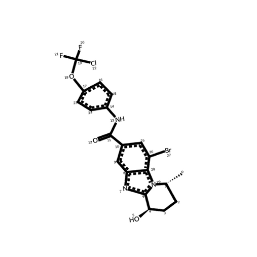 C[C@@H]1CC[C@@H](O)c2nc3cc(C(=O)Nc4ccc(OC(F)(F)Cl)cc4)cc(Br)c3n21